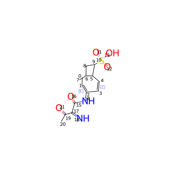 C/C=C(\C=C/C1C(C)CC1S(=O)(=O)O)NC(=O)C(=N)C(C)=O